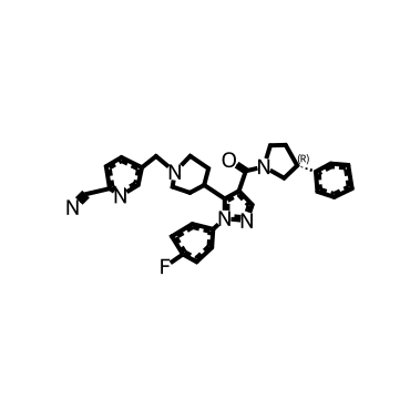 N#Cc1ccc(CN2CCC(c3c(C(=O)N4CC[C@H](c5ccccc5)C4)cnn3-c3ccc(F)cc3)CC2)cn1